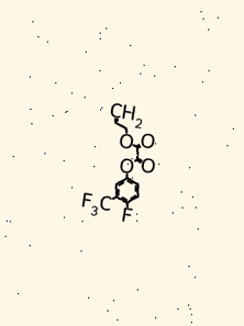 C=CCOC(=O)C(=O)Oc1ccc(F)c(C(F)(F)F)c1